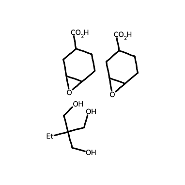 CCC(CO)(CO)CO.O=C(O)C1CCC2OC2C1.O=C(O)C1CCC2OC2C1